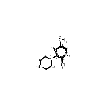 Cc1cnc(Cl)c(N2CCOCC2)n1